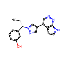 N#CC[C@@H](c1cccc(O)c1)n1cc(-c2cnnc3[nH]ccc23)cn1